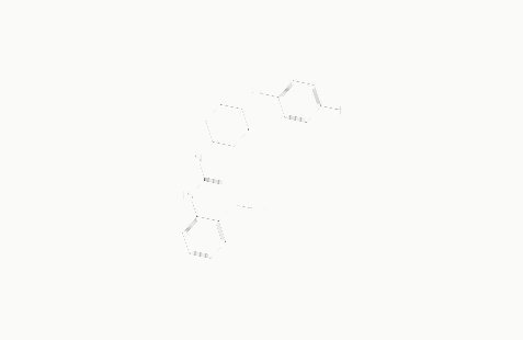 COc1ccccc1NC(=O)N[C@H]1CC[C@@H](Oc2ccc(F)cc2)CC1